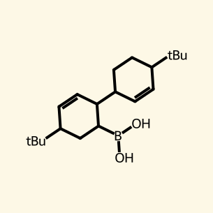 CC(C)(C)C1C=CC(C2C=CC(C(C)(C)C)CC2B(O)O)CC1